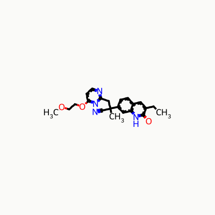 CCc1cc2ccc(C(C)(C#N)Cc3nccc(OCCOC)n3)cc2[nH]c1=O